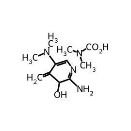 C=C1C(N(C)C)=CN=C(N)C1O.CN(C)C(=O)O